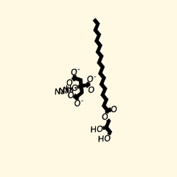 CCCCCCCCCCCCCCCCCC(=O)OCC(O)CO.O=C([O-])CC(O)(CC(=O)[O-])C(=O)[O-].[Na+].[Na+].[Na+]